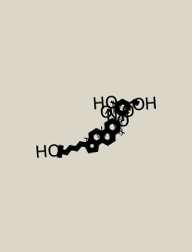 C[C@@H]1C2=CCC3C4CCC(CCCCC(C)(C)O)[C@@]4(C)CC[C@@]3(C)C2CC[C@@H]1O[C@@H]1O[C@H](CO)C[C@H](O)[C@H]1N=O